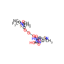 Cc1ncsc1-c1ccc(CNC(=O)[C@@H]2C[C@@H](O)CN2C(=O)[C@@H](NC(=O)COCCCCOCCCOc2ccc(N3C(=S)N(c4ccc(C#N)c(C(F)(F)F)c4)C(=O)C3(C)C)cc2)C(C)(C)C)cc1